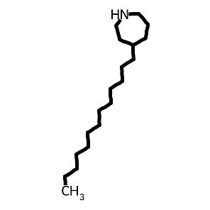 CCCCCCCCCCCCCC1CCCNCC1